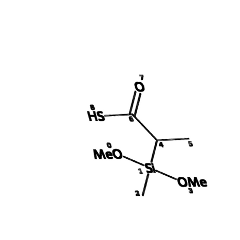 CO[Si](C)(OC)C(C)C(=O)S